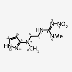 CN/C(=N\[N+](=O)[O-])NCCN(C)c1cc[nH]n1